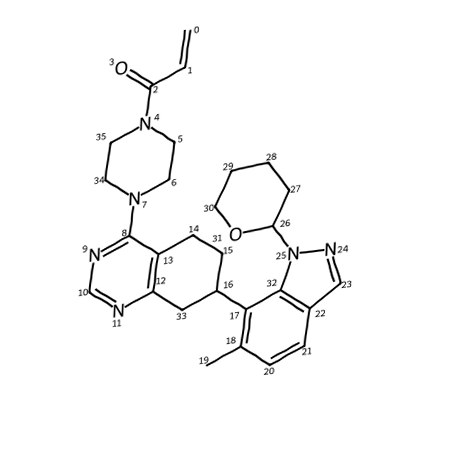 C=CC(=O)N1CCN(c2ncnc3c2CCC(c2c(C)ccc4cnn(C5CCCCO5)c24)C3)CC1